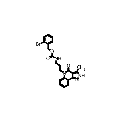 Cc1[nH]nc2c1c(=O)n(CCCNC(=O)OCc1ccccc1Br)c1ccccc21